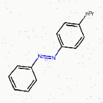 CCCc1ccc(/N=N/c2ccccc2)cc1